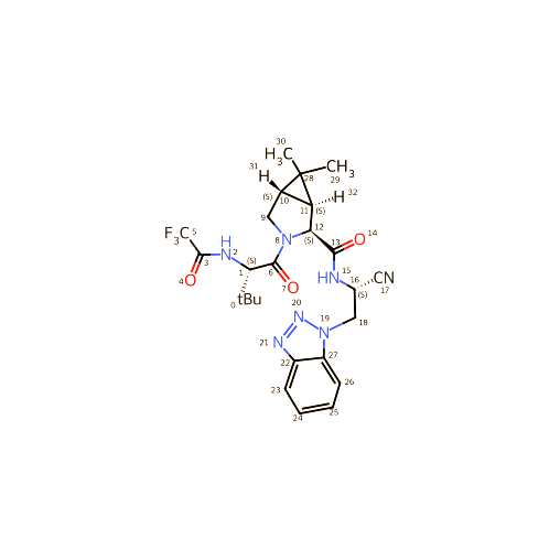 CC(C)(C)[C@H](NC(=O)C(F)(F)F)C(=O)N1C[C@H]2[C@H]([C@H]1C(=O)N[C@H](C#N)Cn1nnc3ccccc31)C2(C)C